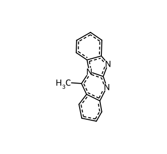 Cc1c2ccccc2nc2nc3ccccc3n12